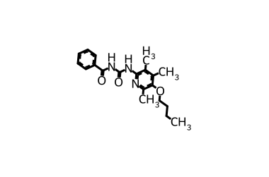 CCCCOc1c(C)nc(NC(=O)NC(=O)c2ccccc2)c(C)c1C